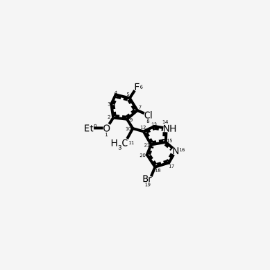 CCOc1ccc(F)c(Cl)c1C(C)c1c[nH]c2ncc(Br)cc12